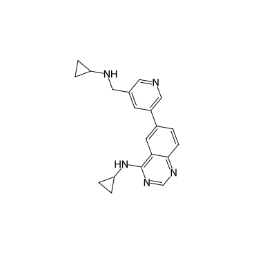 c1nc(NC2CC2)c2cc(-c3cncc(CNC4CC4)c3)ccc2n1